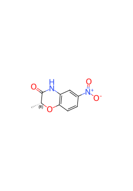 C[C@H]1Oc2ccc([N+](=O)[O-])cc2NC1=O